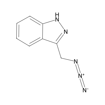 [N-]=[N+]=NCc1n[nH]c2ccccc12